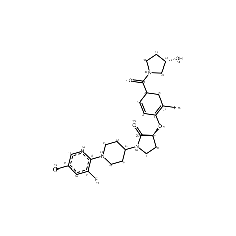 O=C(C1C=CC(O[C@H]2CCN(C3CCN(c4ncc(Cl)cc4F)CC3)C2=O)=C(F)C1)N1CC[C@H](O)C1